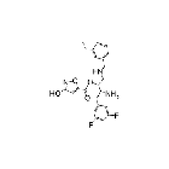 CCc1cccc(CNCC(OC(=O)c2cc(O)no2)C(N)Cc2cc(F)cc(F)c2)c1